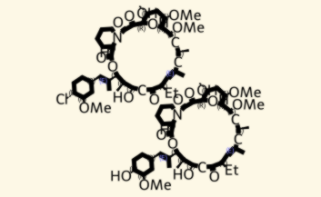 CC[C@@H]1/C=C(\C)C[C@H](C)C[C@H](OC)[C@H]2O[C@@](O)(C(=O)C(=O)N3CCCC[C@H]3C(=O)O[C@H](/C(C)=C/[C@@H]3CC[C@@H](Cl)[C@H](OC)C3)[C@H](C)[C@@H](O)CC1=O)[C@H](C)C[C@@H]2OC.CC[C@@H]1/C=C(\C)C[C@H](C)C[C@H](OC)[C@H]2O[C@@](O)(C(=O)C(=O)N3CCCC[C@H]3C(=O)O[C@H](/C(C)=C/[C@@H]3CC[C@@H](O)[C@H](OC)C3)[C@H](C)[C@@H](O)CC1=O)[C@H](C)C[C@@H]2OC